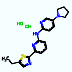 CCc1cnc(-c2cccc(Nc3ccc(N4CCCC4)cn3)n2)s1.Cl.Cl